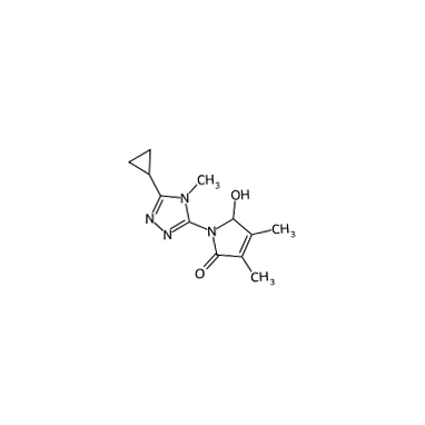 CC1=C(C)C(O)N(c2nnc(C3CC3)n2C)C1=O